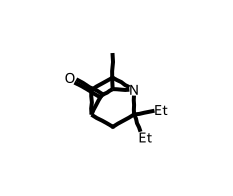 CCC1(CC)CC2CCN1C(C)C2=O